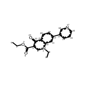 CCOC(=O)c1cn(CC)c2cc(-c3cccnc3)ccc2c1=O